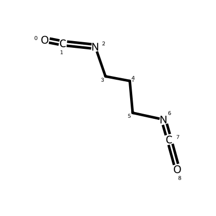 O=C=NC[CH]CN=C=O